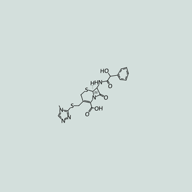 Cn1cnnc1SCC1=C(C(=O)O)N2C(=O)C(NC(=O)C(O)c3ccccc3)[C@@H]2SC1